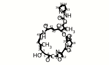 CC1=C\[C@@H](O)CC(=O)Cc2nc(co2)C(=O)N2CCC[C@@H]2C(=O)O[C@H]([C@H](C)COC(=O)Nc2ccccn2)[C@H](C)/C=C/C(=O)NC\C=C\1